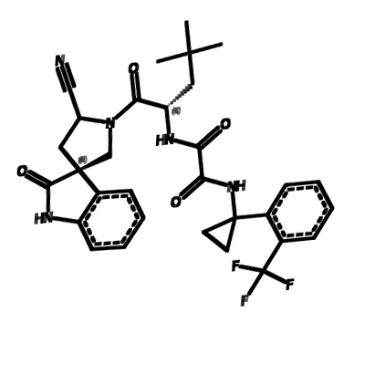 CC(C)(C)C[C@H](NC(=O)C(=O)NC1(c2ccccc2C(F)(F)F)CC1)C(=O)N1C[C@]2(CC1C#N)C(=O)Nc1ccccc12